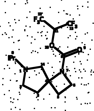 CC(C)N1CCC2(CCN2C(=O)OC(C(F)(F)F)C(F)(F)F)C1